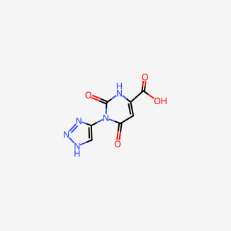 O=C(O)c1cc(=O)n(-c2c[nH]nn2)c(=O)[nH]1